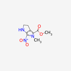 COC(=O)c1c2c(c([N+](=O)[O-])n1C)NCC2